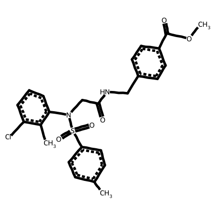 COC(=O)c1ccc(CNC(=O)CN(c2cccc(Cl)c2C)S(=O)(=O)c2ccc(C)cc2)cc1